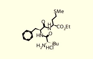 CCOC(=O)[C@H](CCSC)NC(=O)[C@H](Cc1ccccc1)NC(=O)[C@@H](N)[C@@H](C)CC.Cl